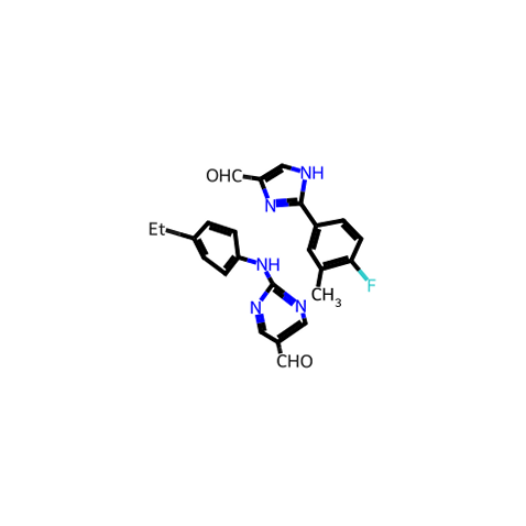 CCc1ccc(Nc2ncc(C=O)cn2)cc1.Cc1cc(-c2nc(C=O)c[nH]2)ccc1F